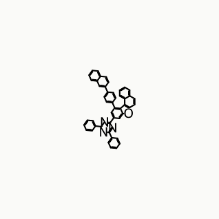 c1ccc(-c2nc(-c3ccccc3)nc(-c3cc(-c4ccc(-c5ccc6ccccc6c5)cc4)c4c(c3)oc3ccc5ccccc5c34)n2)cc1